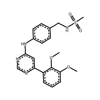 COc1cccc(-c2cc(Nc3ccc(CNS(C)(=O)=O)cc3)ncn2)c1OC